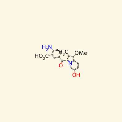 COc1c(C)c(C(=O)c2ccc(N)c(C(=O)O)c2)n2cc(O)ccc12